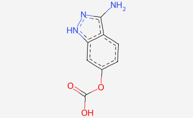 Nc1n[nH]c2cc(OC(=O)O)ccc12